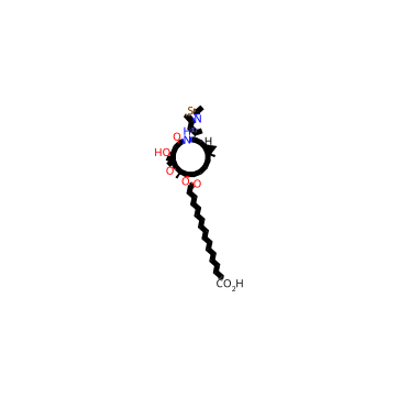 C/C(=C\c1csc(C)n1)[C@@H]1C[C@@H]2C[C@]2(C)CCCCC(OC(=O)CCCCCCCCCCCCCCCCC(=O)O)[C@@H](C)C(=O)C(C)(C)[C@@H](O)CC(=O)N1